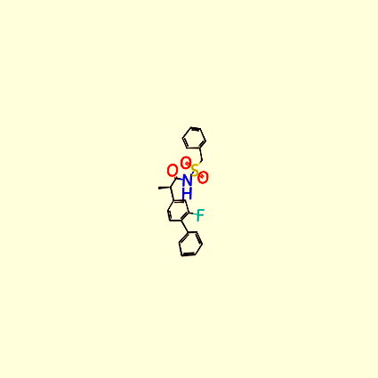 C[C@@H](C(=O)NS(=O)(=O)Cc1ccccc1)c1ccc(-c2ccccc2)c(F)c1